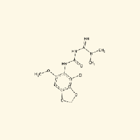 COc1cc2c(c(Cl)c1NC(=O)NC(=N)N(C)C)OCO2